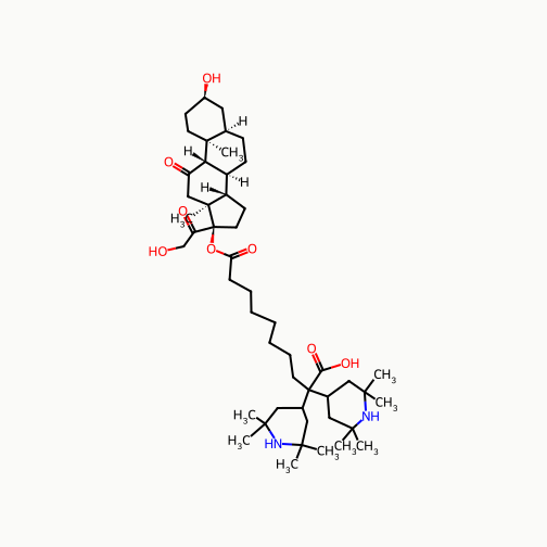 CC1(C)CC(C(CCCCCCCC(=O)O[C@]2(C(=O)CO)CC[C@H]3[C@@H]4CC[C@@H]5C[C@H](O)CC[C@]5(C)[C@H]4C(=O)C[C@@]32C)(C(=O)O)C2CC(C)(C)NC(C)(C)C2)CC(C)(C)N1